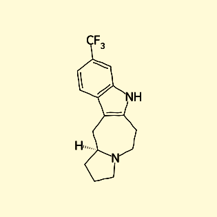 FC(F)(F)c1ccc2c3c([nH]c2c1)CCN1CCC[C@H]1C3